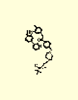 Cc1ccc(CC(=O)c2ccc(CN3CCN(CCNC(=O)C(C)(C)C)CC3)cc2)cc1Nc1nccc(-c2cccnc2)n1